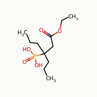 CCCC(CCC)(CC(=O)OCC)P(=O)(O)O